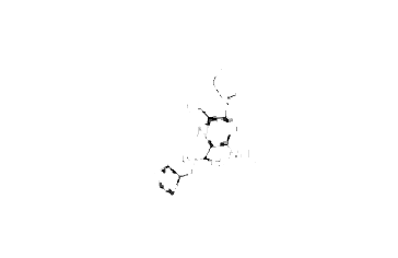 CC(C)CN(C)c1nc(N)c(C(=O)NCc2ccsc2)nc1Cl.Cl